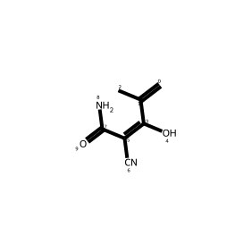 C=C(C)C(O)=C(C#N)C(N)=O